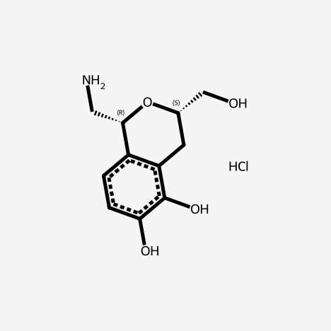 Cl.NC[C@@H]1O[C@H](CO)Cc2c1ccc(O)c2O